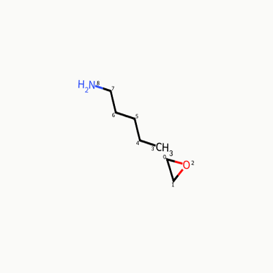 C1CO1.CCCCCN